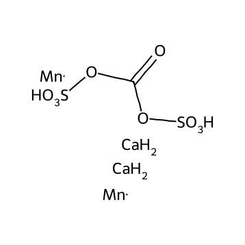 O=C(OS(=O)(=O)O)OS(=O)(=O)O.[CaH2].[CaH2].[Mn].[Mn]